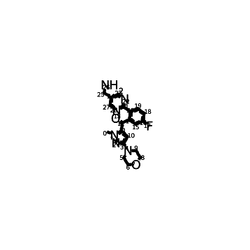 Cn1nc(N2CCOCC2)cc1C(=O)c1cc(F)ccc1-c1ncc(CN)cn1